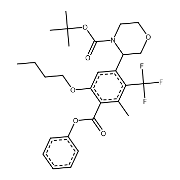 CCCCOc1cc(C2COCCN2C(=O)OC(C)(C)C)c(C(F)(F)F)c(C)c1C(=O)Oc1ccccc1